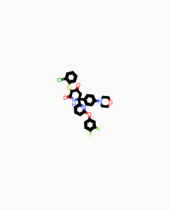 O=C1CC(c2ccc(N3CCOCC3)cc2)(c2cccc(Oc3ccc(F)c(F)c3)n2)NC(=O)C1Sc1ccccc1Cl